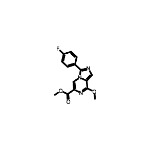 COC(=O)c1cn2c(-c3ccc(F)cc3)ncc2c(OC)n1